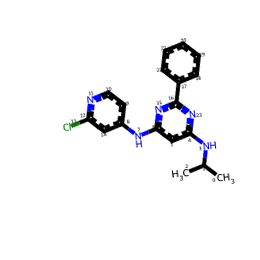 CC(C)Nc1cc(Nc2ccnc(Cl)c2)nc(-c2ccccc2)n1